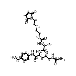 CC(C)[C@H](NC(=O)OCCOCCN1C(=O)C=CC1=O)C(=O)N[C@@H](CCCNC(N)=O)C(=O)Nc1ccc(CO)cc1